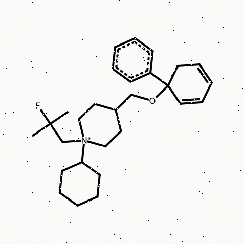 CC(C)(F)C[N+]1(C2CCCCC2)CCC(COC2(c3ccccc3)C=CC=CC2)CC1